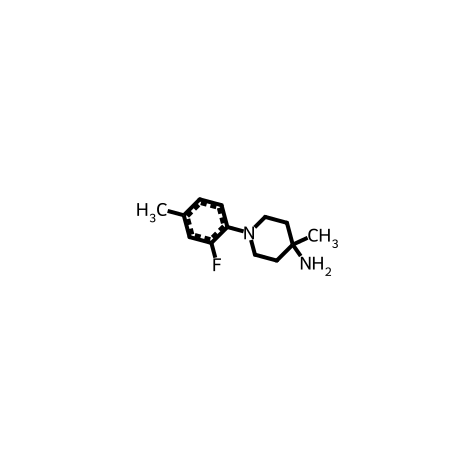 Cc1ccc(N2CCC(C)(N)CC2)c(F)c1